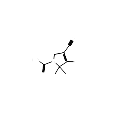 CC1(C)C(O)=C(C#N)CN1C(=O)O